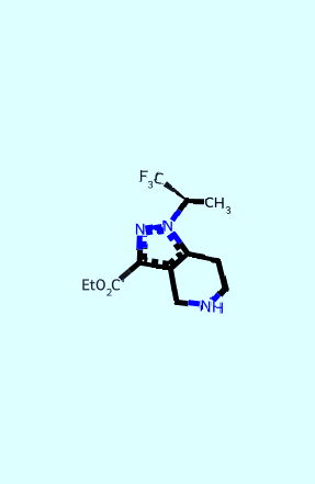 CCOC(=O)c1nn([C@H](C)C(F)(F)F)c2c1CNCC2